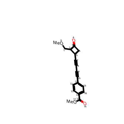 COCC1C(=O)CC1C#CC#Cc1ccc(C(=O)OC)cc1